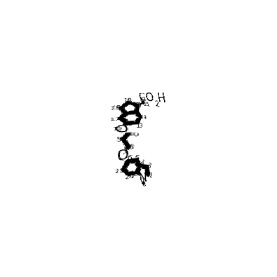 Cn1ccc2cc(OCCCOc3ccc4c(c3)CC[C@H]4CC(=O)O)ccc21